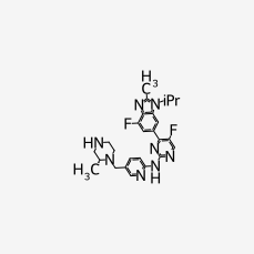 Cc1nc2c(F)cc(-c3nc(Nc4ccc(CN5CCNC[C@@H]5C)cn4)ncc3F)cc2n1C(C)C